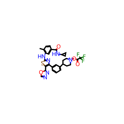 Cc1ccc(C(=O)NC2CC2)cc1Nc1nc(-c2cccc(C3CCN(OC(=O)C(F)(F)F)CC3)c2)c(-c2nnco2)s1